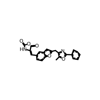 Cc1oc(-c2ccccc2)nc1Cc1cc2cc(C=C3NC(=O)OC3=O)ccc2o1